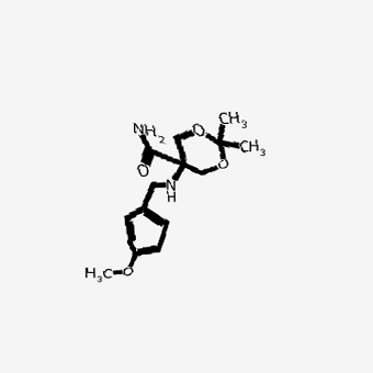 COc1ccc(CNC2(C(N)=O)COC(C)(C)OC2)cc1